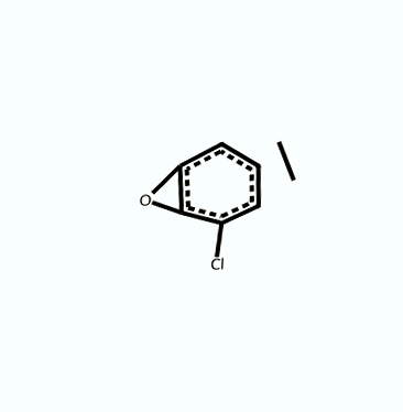 CC.Clc1cccc2c1O2